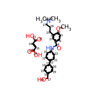 COc1ccc(C(=O)Nc2ccc(-c3ccc(CO)cc3)cc2)cc1CCCN(C)C.O=C(O)C=CC(=O)O